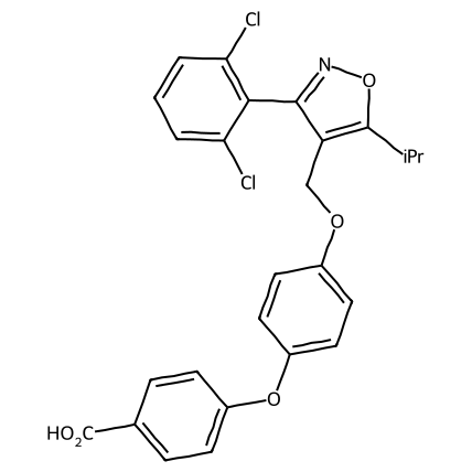 CC(C)c1onc(-c2c(Cl)cccc2Cl)c1COc1ccc(Oc2ccc(C(=O)O)cc2)cc1